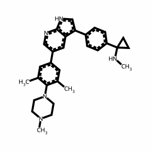 CNC1(c2ccc(-c3c[nH]c4ncc(-c5cc(C)c(N6CCN(C)CC6)c(C)c5)cc34)cc2)CC1